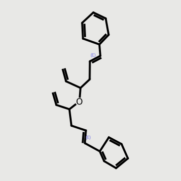 C=CC(C/C=C/c1ccccc1)OC(C=C)C/C=C/c1ccccc1